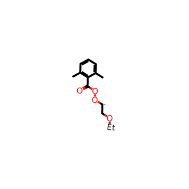 CCOC[CH]OOC(=O)c1c(C)cccc1C